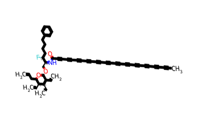 C=CCC1O[C@H](OC[C@H](NC(=O)C#CC#CC#CC#CC#CC#CC#CC#CC#CC#CC#CC#CC)[C@H](F)CCCCc2ccccc2)C(C=C)[C@@H](C=C)[C@H]1C=C